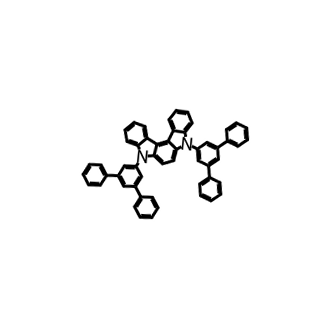 c1ccc(-c2cc(-c3ccccc3)cc(-n3c4ccccc4c4c5c6ccccc6n(-c6cc(-c7ccccc7)cc(-c7ccccc7)c6)c5ccc43)c2)cc1